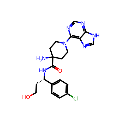 NC1(C(=O)N[C@@H](CCO)c2ccc(Cl)cc2)CCN(c2ncnc3[nH]cnc23)CC1